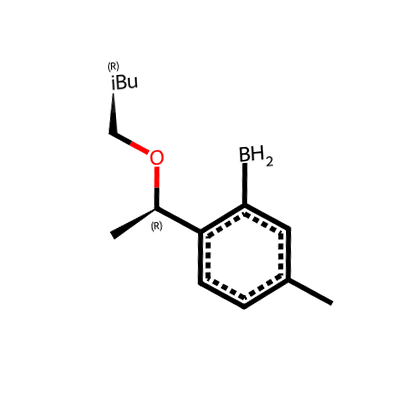 Bc1cc(C)ccc1[C@@H](C)OC[C@H](C)CC